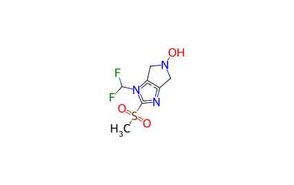 CS(=O)(=O)c1nc2c(n1C(F)F)CN(O)C2